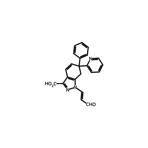 O=CC=Cn1nc(C(=O)O)c2c1CC(c1ccccc1)(c1ccccn1)C=C2